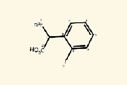 CCCC(C(=O)O)c1ccccc1I